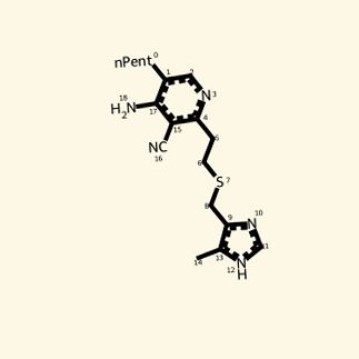 CCCCCc1cnc(CCSCc2nc[nH]c2C)c(C#N)c1N